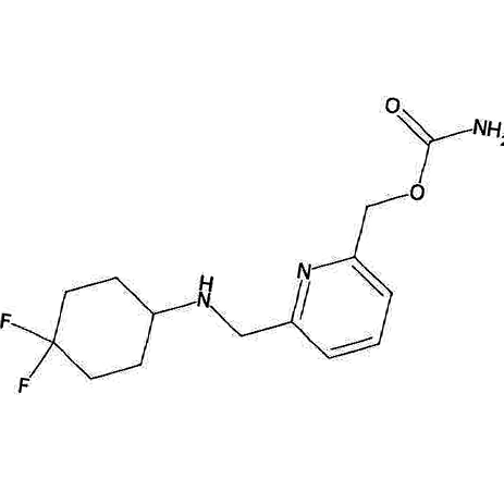 NC(=O)OCc1cccc(CNC2CCC(F)(F)CC2)n1